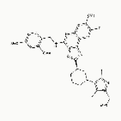 COc1ccc(CNc2nc3cc(OC)c(F)cc3c3nc([C@@H]4CCCN(c5c(C)nn(CSC)c5C)C4)nn23)c(OC)c1